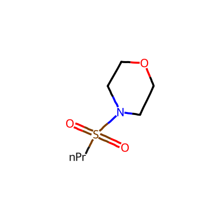 [CH2]CCS(=O)(=O)N1CCOCC1